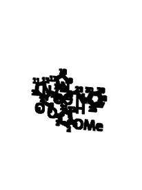 COc1ccc(OCC(=O)[C@@H]2CCCN2C(=O)[C@H]2CCCN2C(=O)CNc2ccccc2)cc1